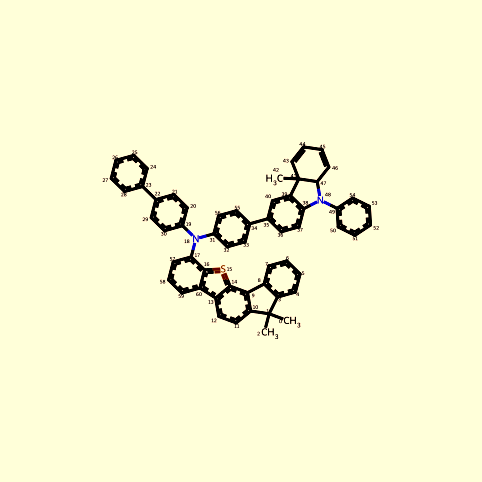 CC1(C)c2ccccc2-c2c1ccc1c2sc2c(N(c3ccc(-c4ccccc4)cc3)c3ccc(-c4ccc5c(c4)C4(C)C=CC=CC4N5c4ccccc4)cc3)cccc21